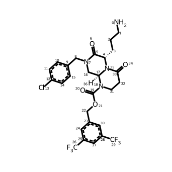 NCCC[C@H]1C(=O)N(Cc2ccc(Cl)cc2)C[C@@H]2N(C(=O)OCc3cc(C(F)(F)F)cc(C(F)(F)F)c3)CCC(=O)N21